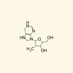 CC1C(O)C(CO)OC1N1CNC2=C1N=CNC2